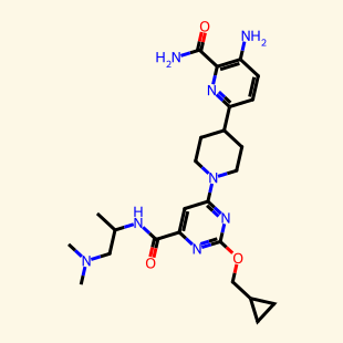 CC(CN(C)C)NC(=O)c1cc(N2CCC(c3ccc(N)c(C(N)=O)n3)CC2)nc(OCC2CC2)n1